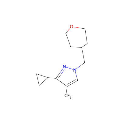 FC(F)(F)c1cn(CC2CCOCC2)nc1C1CC1